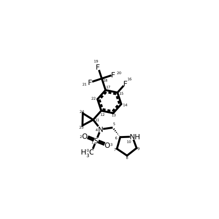 CS(=O)(=O)N(C[C@H]1CCCN1)C1(c2ccc(F)c(C(F)(F)F)c2)CC1